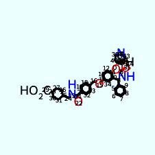 O=C(NC(c1ccccc1)c1cccc(OCc2ccc(C(=O)NCC3CCC(C(=O)O)CC3)cc2)c1)O[C@H]1CN2CCC1CC2